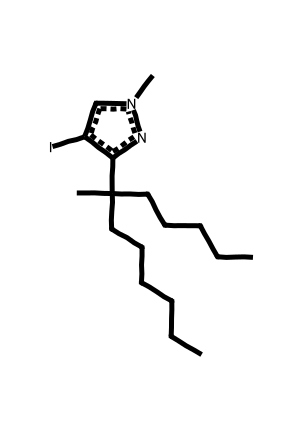 CCCCCCC(C)(CCCCC)c1nn(C)cc1I